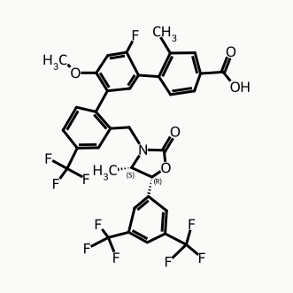 COc1cc(F)c(-c2ccc(C(=O)O)cc2C)cc1-c1ccc(C(F)(F)F)cc1CN1C(=O)O[C@H](c2cc(C(F)(F)F)cc(C(F)(F)F)c2)[C@@H]1C